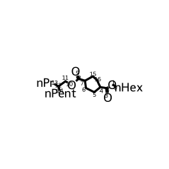 CCCCCCOC(=O)C1CCC(C(=O)OCC(CCC)CCCCC)CC1